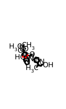 Cc1cc(O)nc2ccc(NC(=O)c3cc(S(=O)(=O)N(C)C)ccc3N3C4CCC3CC(C)(O)C4)cc12